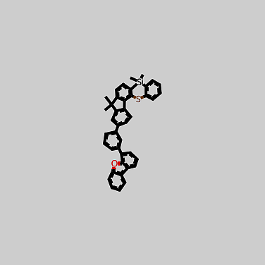 CC1(C)c2cc(-c3cccc(-c4cccc5c4oc4ccccc45)c3)ccc2-c2c1ccc1c2Sc2ccccc2[Si]1(C)C